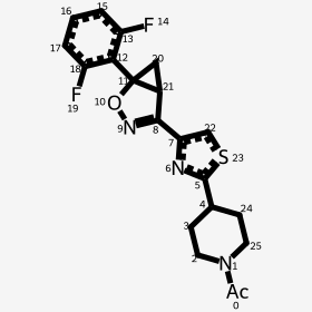 CC(=O)N1CCC(c2nc(C3=NOC4(c5c(F)cccc5F)CC34)cs2)CC1